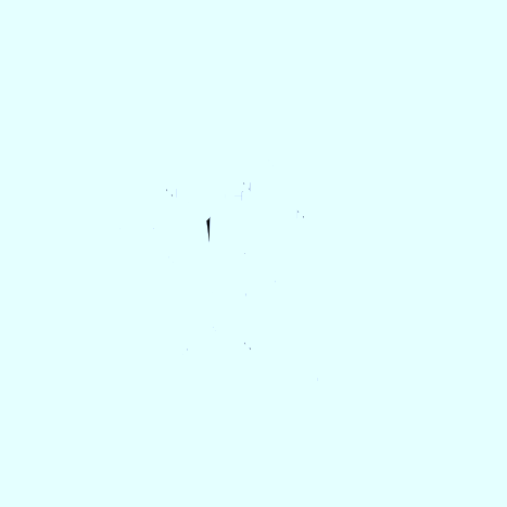 CC[C@@](OC(N)=O)(C(=O)c1noc(-c2ccccc2)n1)C(C)(C(=O)N1CCOCC1)C1CCCCC1